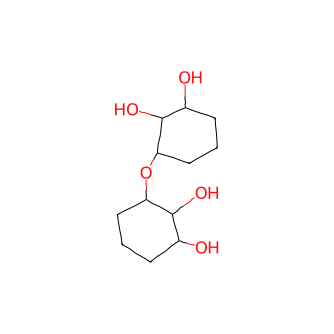 OC1CCCC(OC2CCCC(O)C2O)C1O